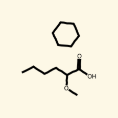 C1CCCCC1.CCCCC(OC)C(=O)O